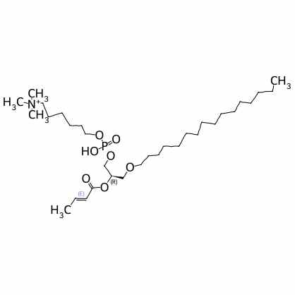 C/C=C/C(=O)O[C@H](COCCCCCCCCCCCCCCCC)COP(=O)(O)OCCCCCC[N+](C)(C)C